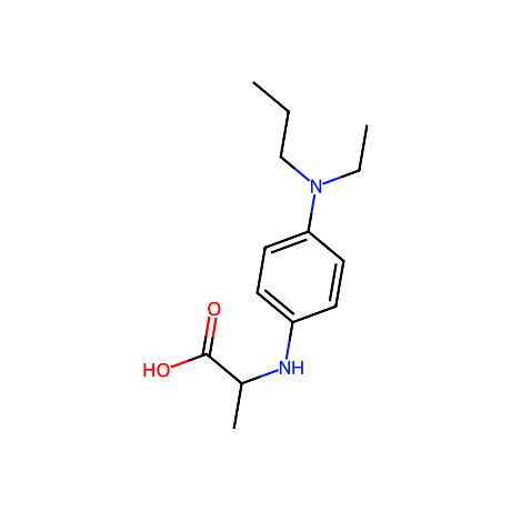 CCCN(CC)c1ccc(NC(C)C(=O)O)cc1